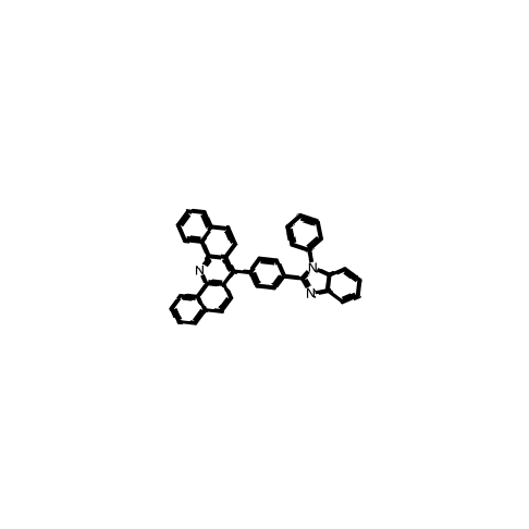 C1=CC2N=C(c3ccc(-c4c5ccc6ccccc6c5nc5c4ccc4ccccc45)cc3)N(c3ccccc3)C2C=C1